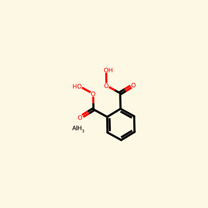 O=C(OO)c1ccccc1C(=O)OO.[AlH3]